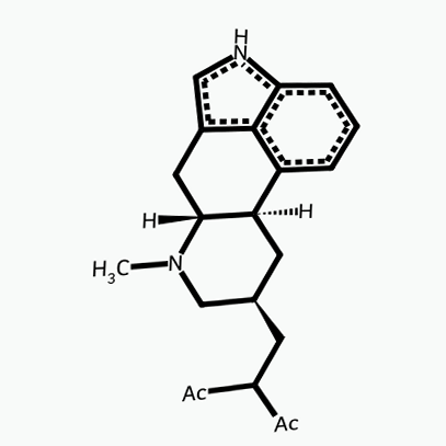 CC(=O)C(C[C@@H]1C[C@@H]2c3cccc4[nH]cc(c34)C[C@H]2N(C)C1)C(C)=O